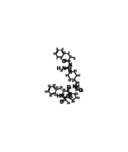 CC(Cc1ccccc1)C(=O)/N=C(\N)N1CCC(CNC(=O)[C@@H]2CCCN2C(=O)[C@@H](Cc2ccccc2)NS(C)(=O)=O)CC1